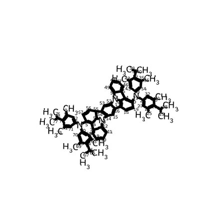 Cc1cc(N(C2=C3c4ccccc4N4c5cc6c7ccc(N(c8cc(C)c(C(C)C)c(C)c8)c8cc(C)c(C(C)C)c(C)c8)c8c9ccccc9n(c6cc5C(C=C2)C34)c78)c2cc(C)c(C(C)C)c(C)c2)cc(C)c1C(C)C